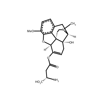 COc1ccc2c3c1O[C@@H]1C(OC(=O)C[C@H](N)C(=O)O)=CC[C@]4(O)[C@H](C2)N(C)CC[C@@]314